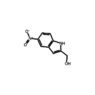 O=[N+]([O-])c1ccc2[nH]c(CO)cc2c1